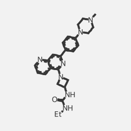 CCNC(=O)NC1CN(c2nc(-c3ccc(N4CCN(C)CC4)cc3)cc3ncccc23)C1